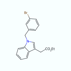 CCOC(=O)Cc1cn(Cc2cccc(Br)c2)c2ccccc12